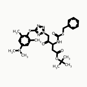 Cc1cc(N(C)C)cc(C)c1Sc1nnn(CC(=O)C(CC(=O)OC(C)(C)C)NC(=O)SCc2ccccc2)n1